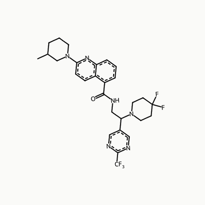 CC1CCCN(c2ccc3c(C(=O)NCC(c4cnc(C(F)(F)F)nc4)N4CCC(F)(F)CC4)cccc3n2)C1